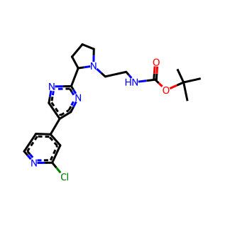 CC(C)(C)OC(=O)NCCN1CCCC1c1ncc(-c2ccnc(Cl)c2)cn1